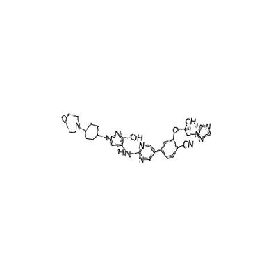 C[C@@H](Cn1cncn1)Oc1cc(-c2cnc(Nc3cn(C4CCC(N5CCOCC5)CC4)nc3O)nc2)ccc1C#N